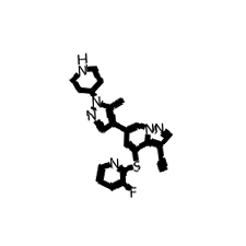 C#Cc1cnn2cc(-c3cnn(C4CCNCC4)c3C)cc(Sc3ncccc3F)c12